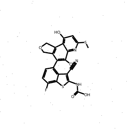 CSc1cc(O)c2c3c(c(-c4ccc(F)c5sc(NC(=O)O)c(C#N)c45)c(Cl)c2n1)COC3